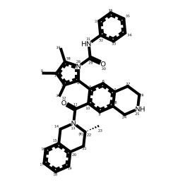 Cc1c(C)c(-c2cc3c(cc2C(=O)N2Cc4ccccc4C[C@H]2C)CNCC3)n(C(=O)Nc2ccccc2)c1C